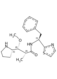 CO[C@@H]([C@@H]1CCCN1)[C@@H](C)C(=O)N[C@@H](Cc1ccccc1)c1nccs1